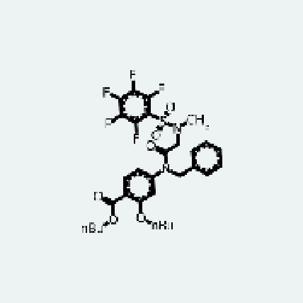 CCCCOC(=O)c1ccc(N(Cc2ccccc2)C(=O)CN(C)S(=O)(=O)c2c(F)c(F)c(F)c(F)c2F)cc1OCCCC